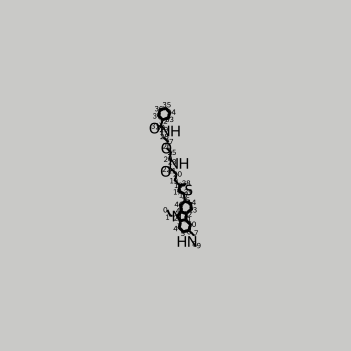 CCn1c2ccc(CNC)cc2c2ccc(-c3cc(CCC(=O)NCCOCCNC(=O)c4ccccc4)cs3)cc21